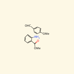 COC(=O)c1ccccc1N.COc1ccc(C=O)cc1